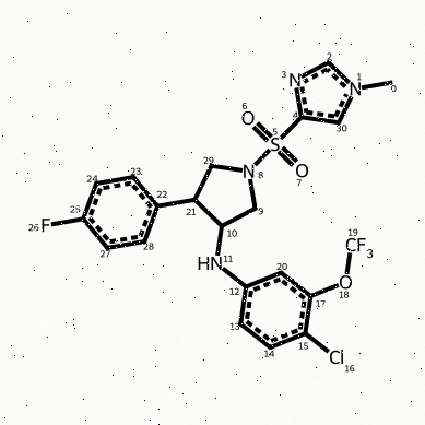 Cn1cnc(S(=O)(=O)N2CC(Nc3ccc(Cl)c(OC(F)(F)F)c3)C(c3ccc(F)cc3)C2)c1